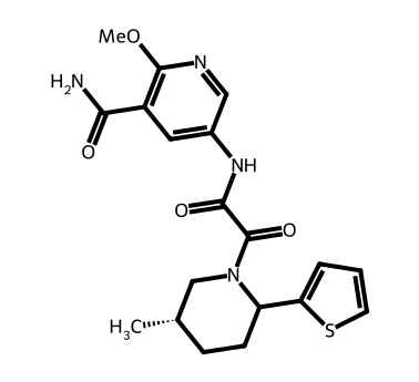 COc1ncc(NC(=O)C(=O)N2C[C@@H](C)CCC2c2cccs2)cc1C(N)=O